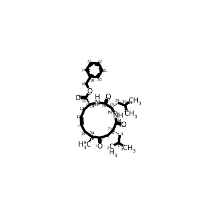 CC(C)C[C@@H]1CC(=O)[C@@H](C)CC=CC[C@@H](C(=O)OCc2ccccc2)NC(=O)[C@H](CC(C)C)NC1=O